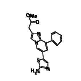 COC(=O)Cc1cn2cc(-c3cnc(N)s3)cc(-c3ccccc3)c2n1